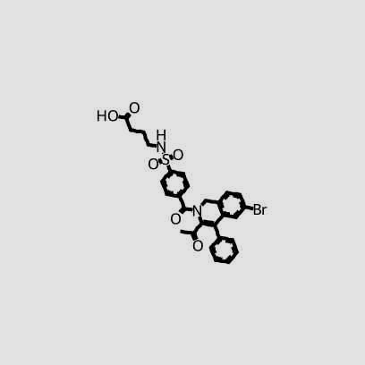 CC(=O)C1=C(c2ccccc2)c2cc(Br)ccc2CN1C(=O)c1ccc(S(=O)(=O)NCCCC(=O)O)cc1